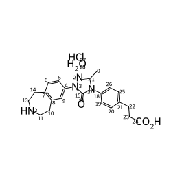 Cc1nn(-c2ccc3c(c2)CCNCC3)c(=O)n1-c1ccc(CCC(=O)O)cc1.Cl.O